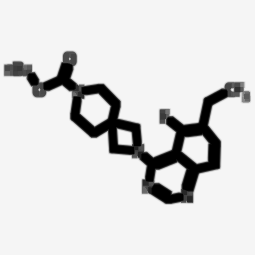 CCCCOC(=O)N1CCC2(CC1)CN(c1ncnc3ccc(CC(F)(F)F)c(F)c13)C2